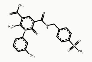 CC(=O)c1cc(C(=O)NCc2ccc(S(C)(=O)=O)cc2)c(=O)n(-c2cccc(C)c2)c1C